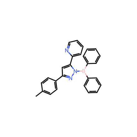 Cc1ccc(-c2cc(-c3ccccn3)n(B(c3ccccc3)c3ccccc3)n2)cc1